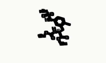 CCCCS(=O)(=O)Nc1ccc(C)c(C[C@H](NC(=O)OC(C)(C)C)C(=O)OC(C)(C)C)c1